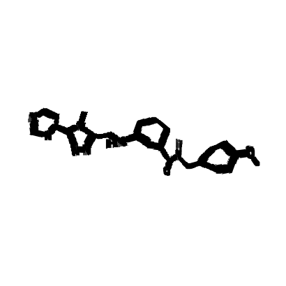 COc1ccc(CNC(=O)c2cccc(NCc3nnc(-c4ccncn4)n3C)c2)cc1